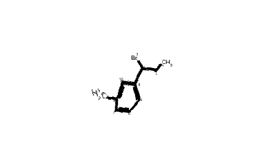 CCC(Br)c1cccc(C)c1